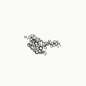 CN(C(=O)OC(C)(C)C)[C@@H]1[C@@H](O)[C@@H](O[C@@H]2[C@@H](O)[C@H](C3OC(CNCC(O)CO)=CC[C@H]3N)[C@@H](N)C[C@H]2NC(=O)[C@@H](O)CNC(=O)OC(C)(C)C)OC[C@]1(C)O